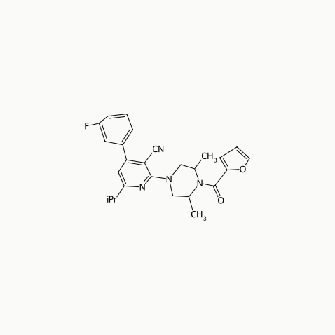 CC(C)c1cc(-c2cccc(F)c2)c(C#N)c(N2CC(C)N(C(=O)c3ccco3)C(C)C2)n1